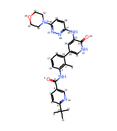 Cc1c(NC(=O)c2ccc(C(C)(C)C)nc2)cccc1-c1c[nH]c(=O)c(Nc2ccc(N3CCOCC3)nn2)c1